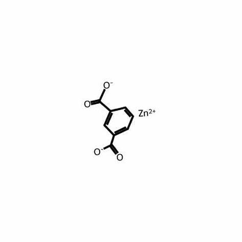 O=C([O-])c1cccc(C(=O)[O-])c1.[Zn+2]